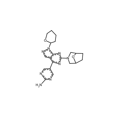 Nc1ncc(-c2nc(N3CC4CCC(C3)O4)nc3c2cnn3C2CCCCO2)cn1